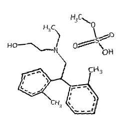 CCN(CCO)CC(c1ccccc1C)c1ccccc1C.COS(=O)(=O)O